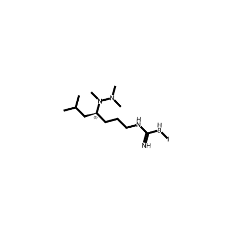 CC(C)C[C@H](CCCNC(=N)BI)N(C)N(C)C